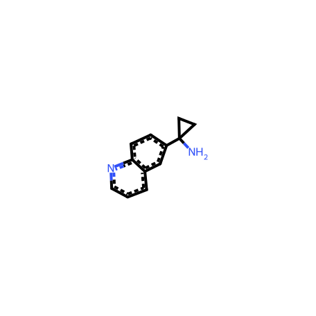 NC1(c2ccc3ncccc3c2)CC1